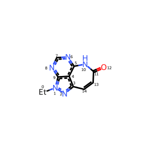 CCn1nc2c3c(ncnc31)NC(=O)C=C2